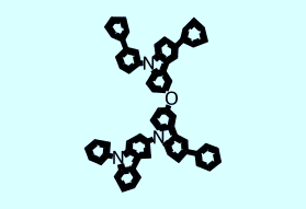 c1ccc(-c2cccc(-n3c4ccc(Oc5ccc6c(c5)c5cc(-c7ccccc7)ccc5n6-c5ccc6c(c5)c5ccccc5n6-c5ccccc5)cc4c4cc(-c5ccccc5)ccc43)c2)cc1